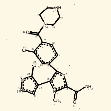 Cn1c(C(N)=O)nc(-c2ccc(C(=O)N3CCNCC3)c(Cl)c2)c1-c1c[nH]nc1C(F)(F)F